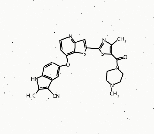 Cc1nc(-c2cc3nccc(Oc4ccc5[nH]c(C)c(C#N)c5c4)c3s2)sc1C(=O)N1CCN(C)CC1